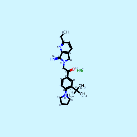 Br.CCc1ccc2c(n1)C(=N)N(CC(=O)c1ccc(N3CCCC3)c(C(C)(C)C)c1)C2